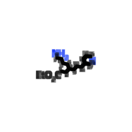 CCOC(=O)CCC(CCCCN)CCCc1cccnc1